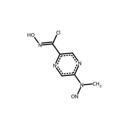 CN(N=O)c1cnc(/C(Cl)=N/O)cn1